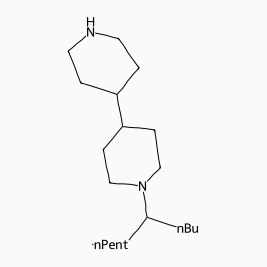 CCCC[CH]C(CCCC)N1CCC(C2CCNCC2)CC1